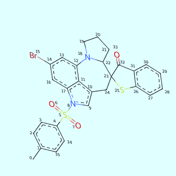 Cc1ccc(S(=O)(=O)n2cc3c4c(cc(Br)cc42)N2CCCC2C2(C3)Sc3ccccc3C2=O)cc1